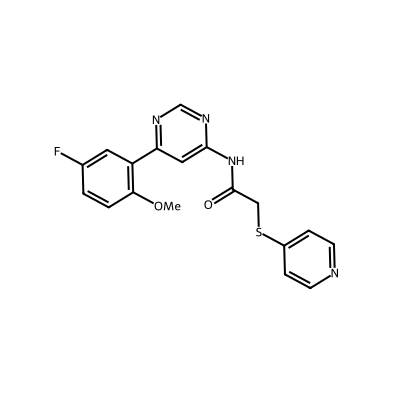 COc1ccc(F)cc1-c1cc(NC(=O)CSc2ccncc2)ncn1